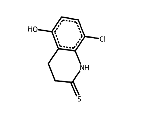 Oc1ccc(Cl)c2c1CCC(=S)N2